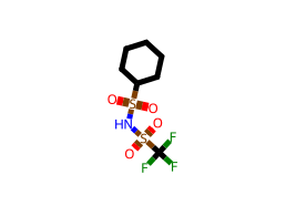 O=S(=O)(NS(=O)(=O)C(F)(F)F)C1CCCCC1